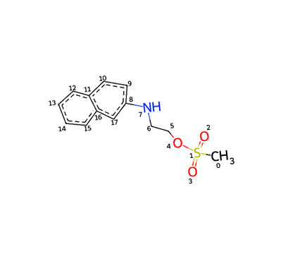 CS(=O)(=O)OCCNc1ccc2ccccc2c1